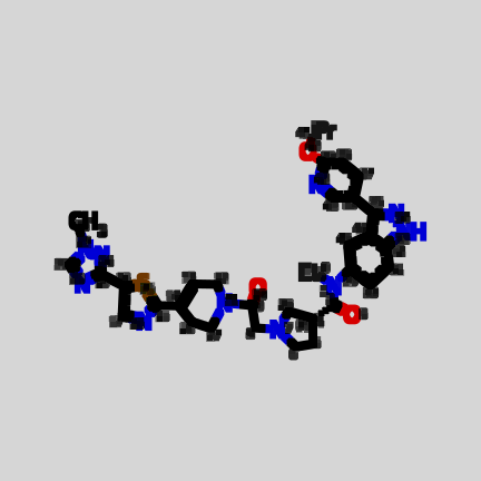 CCN(C(=O)[C@@H]1CCN(CC(=O)N2CC=C(c3ncc(-c4ncn(C)n4)s3)CC2)C1)c1ccc2[nH]nc(-c3ccc(OC(C)C)nc3)c2c1